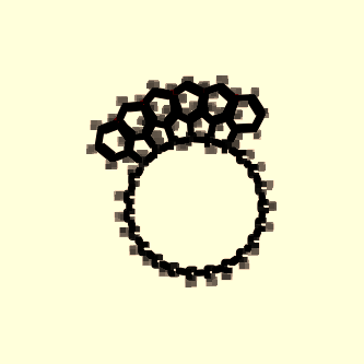 c1ccc(P2CCCCCCCCCCCCCCCCCP(c3ccccc3)P(c3ccccc3)P(c3ccccc3)P(c3ccccc3)P2c2ccccc2)cc1